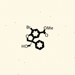 COC(=O)c1cc(Br)c2c(c1)[C@@](CO)(c1ccccc1)CO2